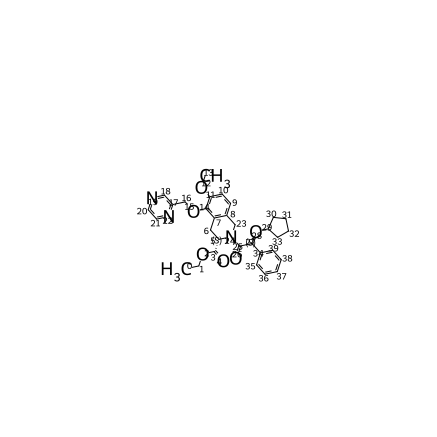 CCOC(=O)[C@@H]1Cc2c(ccc(OC)c2OCc2cnccn2)CN1C(=O)[C@@H](OC1CCCC1)c1ccccc1